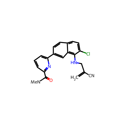 C=C(C#N)CNc1c(Cl)ccc2ccc(-c3cccc(C(=O)NC)n3)cc12